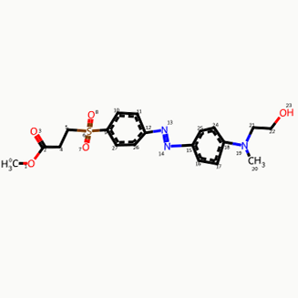 COC(=O)CCS(=O)(=O)c1ccc(/N=N/c2ccc(N(C)CCO)cc2)cc1